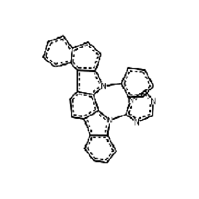 c1ccc(-n2c3ccc4ccccc4c3c3ccc4c5ccccc5n(-c5ncncn5)c4c32)cc1